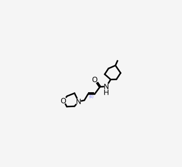 CC1CCC(NC(=O)/C=C/CN2CCOCC2)CC1